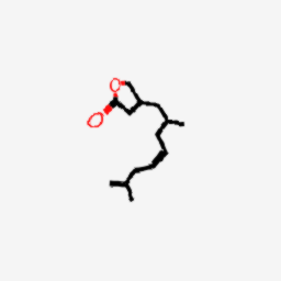 CC(C)C/C=C\CC(C)CC1COC(=O)C1